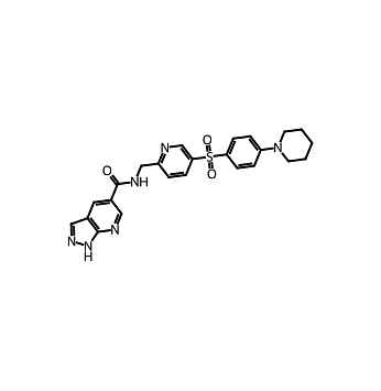 O=C(NCc1ccc(S(=O)(=O)c2ccc(N3CCCCC3)cc2)cn1)c1cnc2[nH]ncc2c1